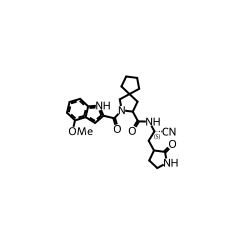 COc1cccc2[nH]c(C(=O)N3CC4(CCCC4)CC3C(=O)N[C@H](C#N)CC3CCNC3=O)cc12